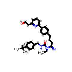 CCN(C(=N)CCCc1ccc(-c2cccc(CC=O)n2)cc1)C(=O)NCc1ccc(C(C)(C)C)cc1